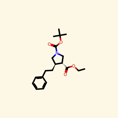 CCOC(=O)[C@H]1CN(C(=O)OC(C)(C)C)C[C@@H]1CCc1ccccc1